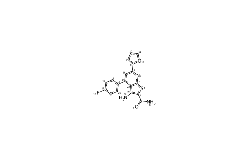 NC(=O)c1sc2nc(-c3ccco3)cc(-c3ccc(F)cc3)c2c1N